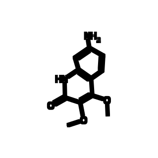 COc1c(OC)c2ccc(N)cc2[nH]c1=O